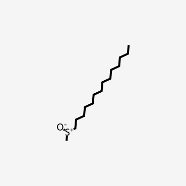 CCCCCCCCCCCCCC[S+](C)[O-]